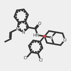 CC=Cn1nc(C(=O)NC2CC3COCC(C2)N3Cc2ccc(Cl)c(Cl)c2)c2ccccc21